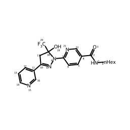 CCCCCCNC(=O)c1ccc(N2N=C(c3cccnc3)CC2(O)C(F)(F)F)nc1